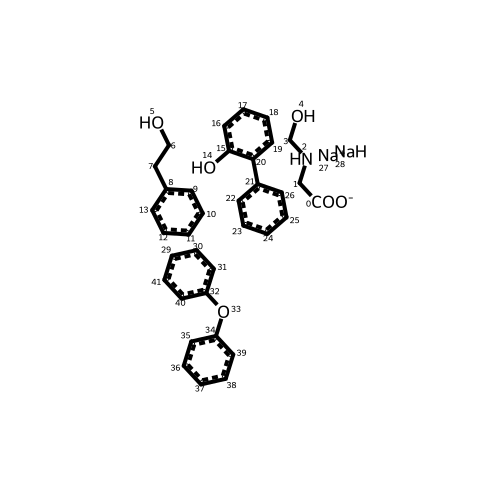 O=C([O-])CNCO.OCCc1ccccc1.Oc1ccccc1-c1ccccc1.[Na+].[NaH].c1ccc(Oc2ccccc2)cc1